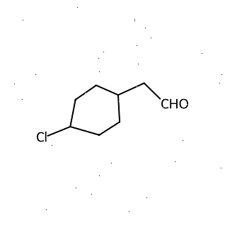 O=CCC1CCC(Cl)CC1